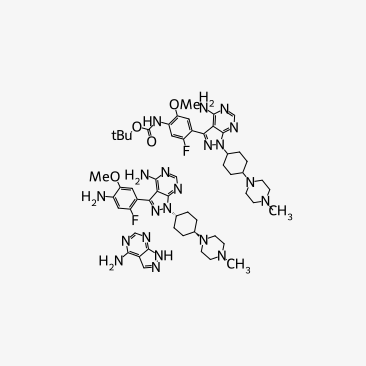 COc1cc(-c2nn(C3CCC(N4CCN(C)CC4)CC3)c3ncnc(N)c23)c(F)cc1NC(=O)OC(C)(C)C.COc1cc(-c2nn([C@H]3CC[C@H](N4CCN(C)CC4)CC3)c3ncnc(N)c23)c(F)cc1N.Nc1ncnc2[nH]ncc12